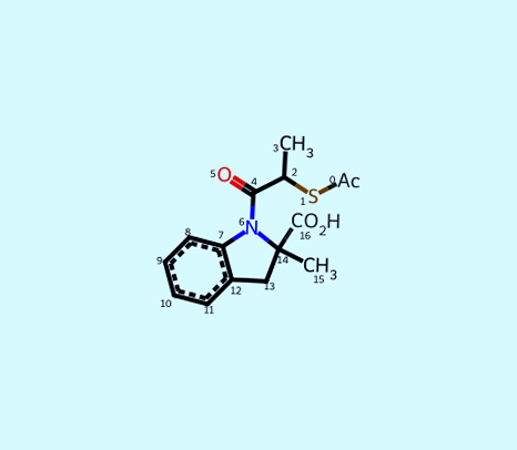 CC(=O)SC(C)C(=O)N1c2ccccc2CC1(C)C(=O)O